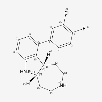 Fc1ccc(-c2cccc3c2[C@@H]2CCNCC[C@@H]2N3)cc1Cl